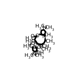 CO[C@]1(C)C[C@@H](C)CN(C)C2(CCC(N(C)C)CC2)COC(=O)C(C)(C)C(=O)[C@H](C)[C@H]1O[C@@H]1O[C@H](C)C[C@H](N(C)C)[C@H]1O